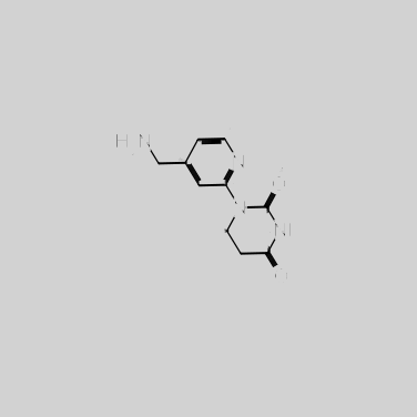 NCc1ccnc(N2CCC(=O)NC2=O)c1